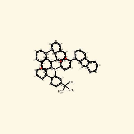 CC(C)(C)c1ccc(-c2ccccc2)c(N(c2ccc(-c3cccc4c3sc3ccccc34)cc2)c2ccccc2-c2cccc3cccc(-c4ccccc4)c23)c1